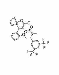 COc1ccccc1-c1c(OC(=O)N(C)Cc2cc(C(F)(F)F)cc(C(F)(F)F)c2)c(=O)oc2ccccc12